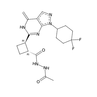 C=C1NC([C@@H]2CC[C@H]2C(=O)NNC(C)=O)=Nc2c1cnn2C1CCC(F)(F)CC1